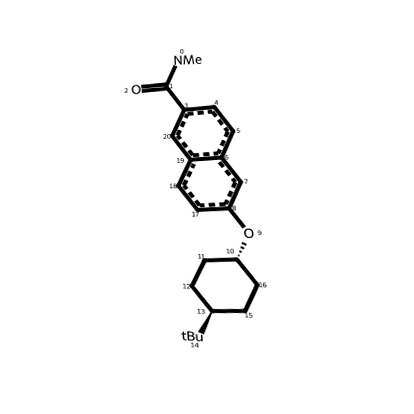 CNC(=O)c1ccc2cc(O[C@H]3CC[C@H](C(C)(C)C)CC3)ccc2c1